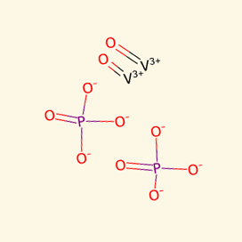 O=P([O-])([O-])[O-].O=P([O-])([O-])[O-].[O]=[V+3].[O]=[V+3]